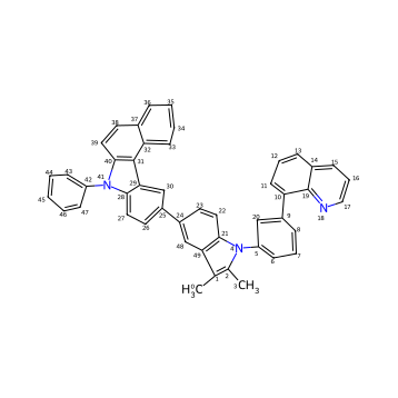 Cc1c(C)n(-c2cccc(-c3cccc4cccnc34)c2)c2ccc(-c3ccc4c(c3)c3c5ccccc5ccc3n4-c3ccccc3)cc12